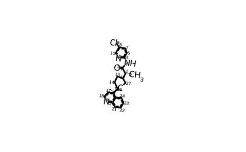 C[C@@H](C(=O)Nc1ccc(Cl)cn1)C1CCC(c2ccnc3ccccc23)CC1